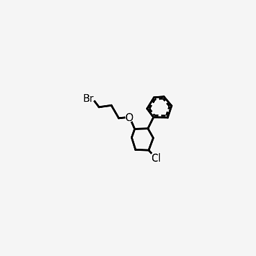 ClC1CCC(OCCCBr)C(c2ccccc2)C1